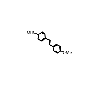 COc1ccc(C=Cc2ccc(C=O)cc2)cc1